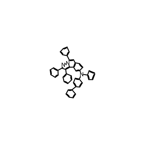 c1ccc(-c2ccc(N(c3ccccc3)c3ccc4cc(-c5ccccc5)n5nc(-c6ccccc6)c(-c6ccccc6)c5c4c3)cc2)cc1